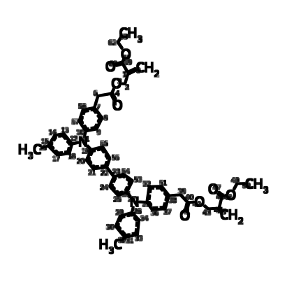 C=C(COC(=O)Cc1ccc(N(c2ccc(C)cc2)c2ccc(-c3ccc(N(c4ccc(C)cc4)c4ccc(CC(=O)OCC(=C)C(=O)OCC)cc4)cc3)cc2)cc1)C(=O)OCC